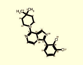 CC1(C)CCN(c2nccn3c(-c4cccc(Cl)c4Cl)ncc23)CC1